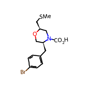 CSC[C@H]1CN(C(=O)O)[C@@H](Cc2ccc(Br)cc2)CO1